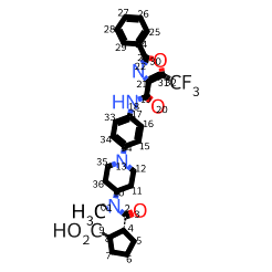 CN(C(=O)[C@@H]1CCC[C@H]1C(=O)O)C1CCN(c2ccc(NC(=O)c3nc(-c4ccccc4)oc3C(F)(F)F)cc2)CC1